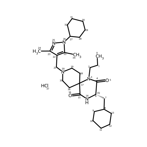 CCCN1C(=O)[C@H](CC2CCCCC2)NC(=O)C12CCN(Cc1c(C)nn(C3CCCCC3)c1C)CC2.Cl